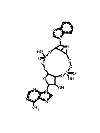 Nc1ncnc2c1ncn2C1OC2COP(=O)(O)OC3C(O)C(COP(=O)(O)OC2C1O)OC3n1cnc2ccccc21